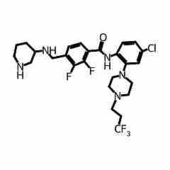 O=C(Nc1ccc(Cl)cc1N1CCN(CCC(F)(F)F)CC1)c1ccc(CNC2CCCNC2)c(F)c1F